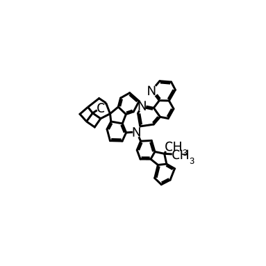 CC1(C)c2ccccc2-c2ccc(N(c3cnc4c(ccc5cccnc54)c3)c3cccc4c3-c3ccccc3C43C4CC5CC6CC3C56C4)cc21